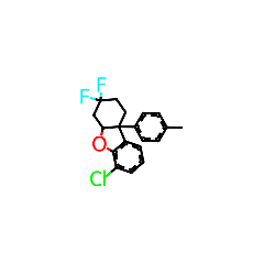 Cc1ccc(C23CCC(F)(F)CC2Oc2c(Cl)cccc23)cc1